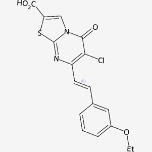 CCOc1cccc(/C=C/c2nc3sc(C(=O)O)cn3c(=O)c2Cl)c1